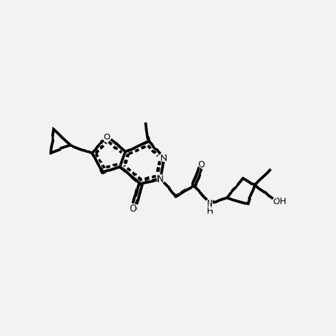 Cc1nn(CC(=O)NC2CC(C)(O)C2)c(=O)c2cc(C3CC3)oc12